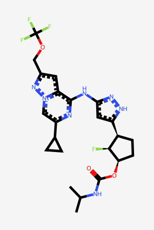 CC(C)NC(=O)O[C@@H]1CC[C@H](c2cc(Nc3nc(C4CC4)cn4nc(COC(F)(F)F)cc34)n[nH]2)[C@@H]1F